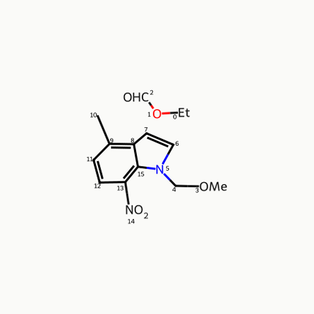 CCOC=O.COCn1ccc2c(C)ccc([N+](=O)[O-])c21